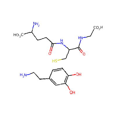 NC(CCC(=O)NC(CS)C(=O)NCC(=O)O)C(=O)O.NCCc1ccc(O)c(O)c1